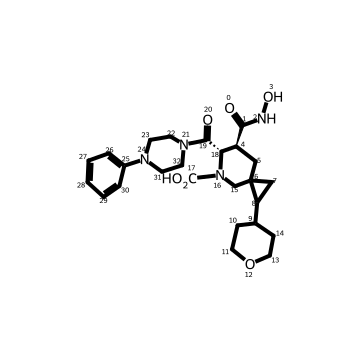 O=C(NO)[C@H]1CC2(CC2C2CCOCC2)CN(C(=O)O)[C@@H]1C(=O)N1CCN(c2ccccc2)CC1